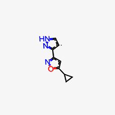 [c]1c[nH]nc1-c1cc(C2CC2)on1